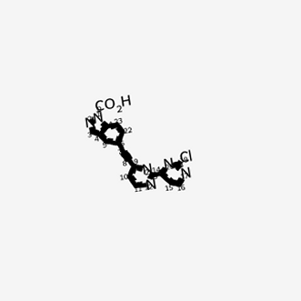 O=C(O)n1ncc2cc(C#Cc3ccnc(-c4ccnc(Cl)n4)n3)ccc21